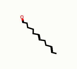 CC=CCCC=CCCCCC=O